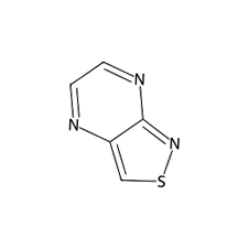 c1cnc2nscc2n1